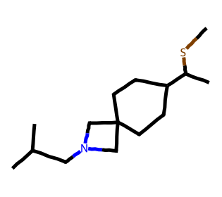 CSC(C)C1CCC2(CC1)CN(CC(C)C)C2